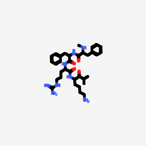 CNC(Cc1ccccc1)C(=O)NC(Cc1ccccc1)C(=O)NC(CCCNC(=N)N)C(=O)NC(CCCCN)C(=O)C(C)C